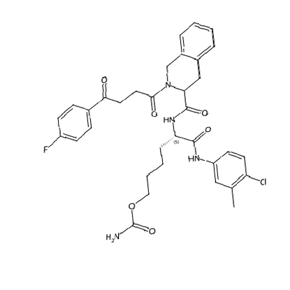 Cc1cc(NC(=O)[C@H](CCCCOC(N)=O)NC(=O)C2Cc3ccccc3CN2C(=O)CCC(=O)c2ccc(F)cc2)ccc1Cl